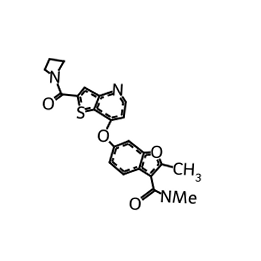 CNC(=O)c1c(C)oc2cc(Oc3ccnc4cc(C(=O)N5CCC5)sc34)ccc12